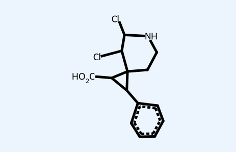 O=C(O)C1C(c2ccccc2)C12CCNC(Cl)C2Cl